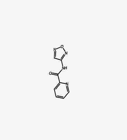 O=C(Nc1cnon1)c1ccccn1